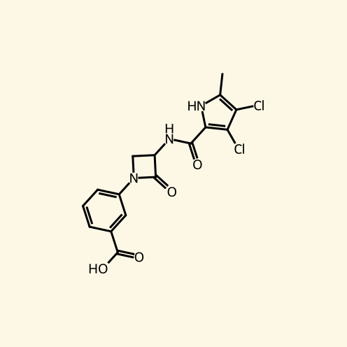 Cc1[nH]c(C(=O)NC2CN(c3cccc(C(=O)O)c3)C2=O)c(Cl)c1Cl